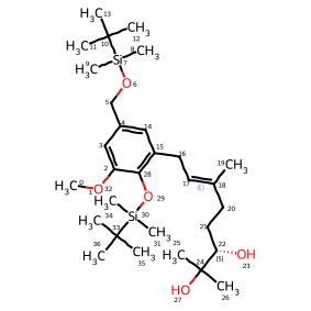 COc1cc(CO[Si](C)(C)C(C)(C)C)cc(C/C=C(\C)CC[C@H](O)C(C)(C)O)c1O[Si](C)(C)C(C)(C)C